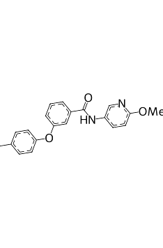 COc1ccc(NC(=O)c2cccc(Oc3ccc(C)cc3)c2)cn1